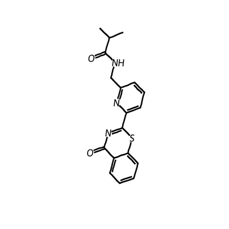 CC(C)C(=O)NCc1cccc(-c2nc(=O)c3ccccc3s2)n1